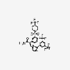 NC(=O)/C(=C/c1ccnc(-c2cc(C(F)(F)F)cc(C(F)(F)F)c2)n1)c1cccc(S(=O)(=O)N2CCC(C(F)(F)F)CC2)c1